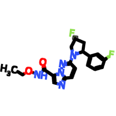 CCONC(=O)c1cnc2ccc(N3C[C@@H](F)CC3c3cccc(F)c3)nn12